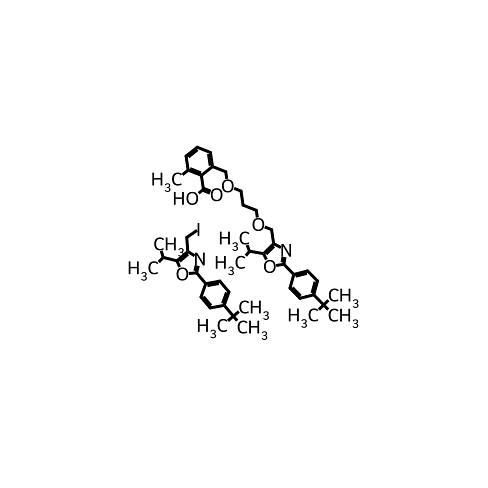 CC(C)c1oc(-c2ccc(C(C)(C)C)cc2)nc1CI.Cc1cccc(COCCCOCc2nc(-c3ccc(C(C)(C)C)cc3)oc2C(C)C)c1C(=O)O